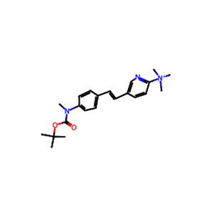 CN(C(=O)OC(C)(C)C)c1ccc(/C=C/c2ccc([N+](C)(C)C)nc2)cc1